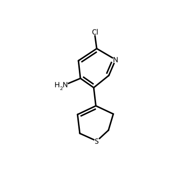 Nc1cc(Cl)ncc1C1=CCSCC1